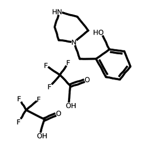 O=C(O)C(F)(F)F.O=C(O)C(F)(F)F.Oc1ccccc1CN1CCNCC1